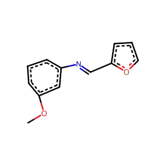 COc1cccc(/N=C/c2ccco2)c1